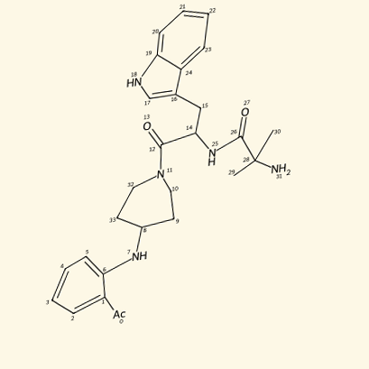 CC(=O)c1ccccc1NC1CCN(C(=O)C(Cc2c[nH]c3ccccc23)NC(=O)C(C)(C)N)CC1